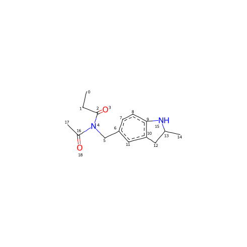 CCC(=O)N(Cc1ccc2c(c1)CC(C)N2)C(C)=O